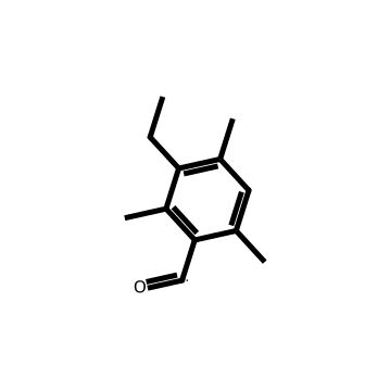 CCc1c(C)cc(C)c([C]=O)c1C